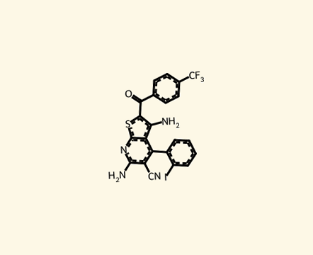 N#Cc1c(N)nc2sc(C(=O)c3ccc(C(F)(F)F)cc3)c(N)c2c1-c1ccccc1I